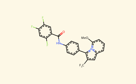 COc1cccc2cc(C(F)(F)F)c(-c3ccc(NC(=O)c4cc(F)c(F)cc4F)cc3)n12